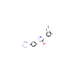 CC(=O)c1c(Nc2ccc(N3CCCNCC3)cc2)ncnc1Oc1cc(F)c2c(c1F)CC(C)N2